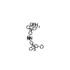 CC1(C)c2ccccc2N(c2ccc(-c3nc(-c4ccc(N5c6ccccc6Sc6cc(-c7ccccc7)ccc65)cc4)ns3)cc2)c2ccccc21